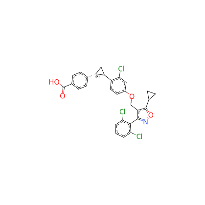 O=C(O)c1ccc([C@@H]2CC2c2ccc(OCc3c(-c4c(Cl)cccc4Cl)noc3C3CC3)cc2Cl)cc1